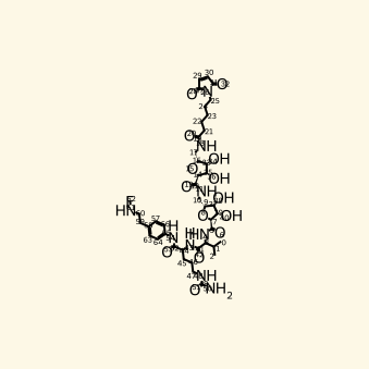 CC(C)C(NC(=O)[C@H]1O[C@H](CNC(=O)[C@H]2O[C@H](CNC(=O)CCCCCN3C(=O)C=CC3=O)[C@H](O)[C@@H]2O)[C@H](O)[C@@H]1O)C(=O)NC(CCCNC(N)=O)C(=O)Nc1ccc(CCNF)cc1